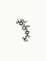 CCCc1c(OC2CCCC(Sc3ccc(C(=O)CCC(=O)O)cc3)C2O)ccc(C(C)=O)c1O